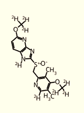 [2H]c1nc(C[S+]([O-])c2nc3nc(OC([2H])([2H])[2H])ccc3n2[2H])c(C)c(OC([2H])([2H])[2H])c1C